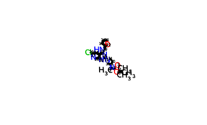 CN(C(=O)OC(C)(C)C)C1CCN(c2nc(NCc3ccco3)c3cc(Cl)ncc3n2)C1